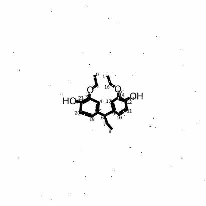 CCOc1cc(C(CC)c2ccc(O)c(OCC)c2)ccc1O